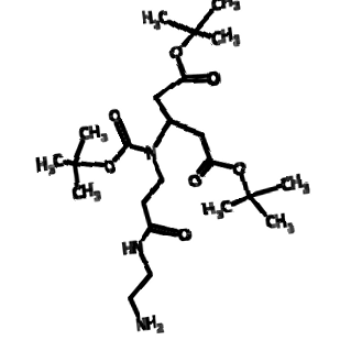 CC(C)(C)OC(=O)CC(CC(=O)OC(C)(C)C)N(CCC(=O)NCCN)C(=O)OC(C)(C)C